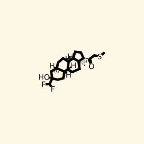 CSCC(=O)[C@H]1CC[C@H]2[C@@H]3CC[C@H]4C[C@@](O)(C(F)F)CC[C@@H]4[C@H]3CC[C@]12C